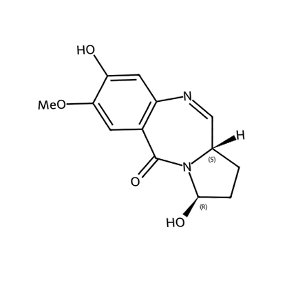 COc1cc2c(cc1O)N=C[C@@H]1CC[C@@H](O)N1C2=O